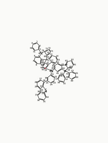 c1ccc(N2c3ccccc3C3(c4ccccc4-c4c(N(c5cccc(-c6cccc7c6sc6ccccc67)c5)c5ccc6c(c5)C(c5ccccc5)(c5ccccc5)c5ccccc5-6)cccc43)c3ccccc32)cc1